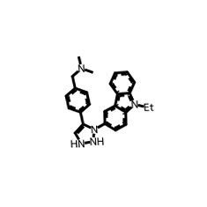 CCn1c2ccccc2c2cc(N3NNC=C3c3ccc(CN(C)C)cc3)ccc21